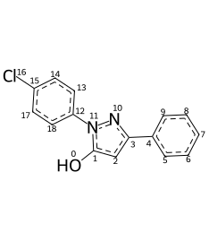 Oc1cc(-c2ccccc2)nn1-c1ccc(Cl)cc1